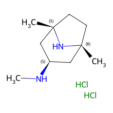 CN[C@H]1C[C@]2(C)CC[C@](C)(C1)N2.Cl.Cl